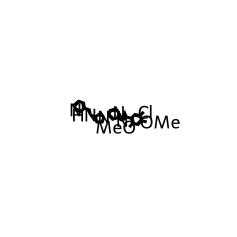 COc1cc(OC)c(-c2cn3ccc(N4CCC(NCc5cccnc5)C4)cc3n2)cc1Cl